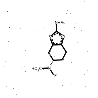 CC(=O)Nc1nc2c(s1)C[C@@H](N(C(=O)O)C(C)C)CC2